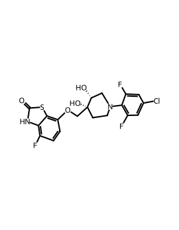 O=c1[nH]c2c(F)ccc(OC[C@]3(O)CCN(c4c(F)cc(Cl)cc4F)C[C@H]3O)c2s1